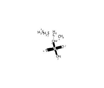 C.C.O=S(O)(O)=S.S.S